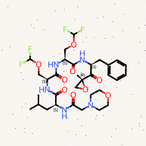 CC(C)C[C@H](NC(=O)CN1CCOCC1)C(=O)N[C@@H](COC(F)F)C(=O)N[C@@H](COC(F)F)C(=O)N[C@@H](Cc1ccccc1)C(=O)[C@@]1(C)CO1